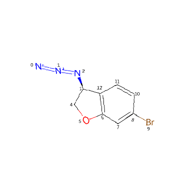 [N-]=[N+]=N[C@@H]1COc2cc(Br)ccc21